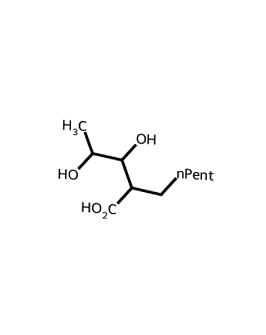 CCCCCCC(C(=O)O)C(O)C(C)O